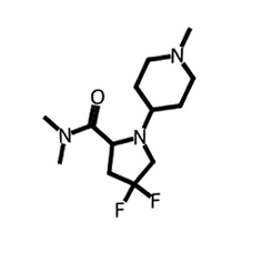 CN1CCC(N2CC(F)(F)CC2C(=O)N(C)C)CC1